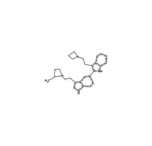 CC1CCN1CCc1c[nH]c2ccc(-c3[nH]c4ccccc4c3CCN3CCC3)cc12